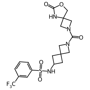 O=C1NC2(CO1)CN(C(=O)N1CC3(CC(NS(=O)(=O)c4cccc(C(F)(F)F)c4)C3)C1)C2